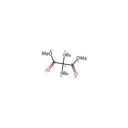 CCCCC(CCCC)(C(=O)OC)C(=O)OC